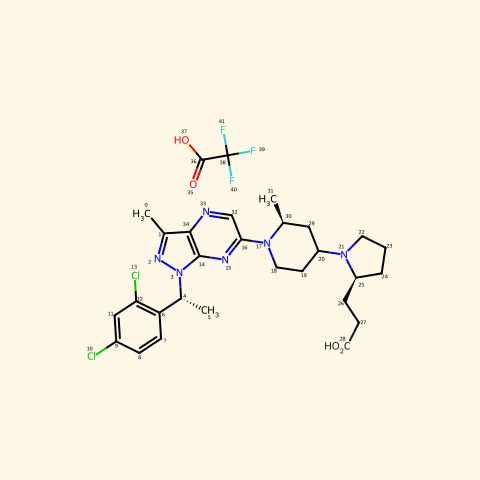 Cc1nn([C@H](C)c2ccc(Cl)cc2Cl)c2nc(N3CCC(N4CCC[C@H]4CCC(=O)O)C[C@@H]3C)cnc12.O=C(O)C(F)(F)F